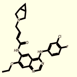 CCOc1cc2ncnc(Nc3ccc(F)c(Cl)c3)c2cc1NC(=O)/C=C/CN1CC2CC2C1